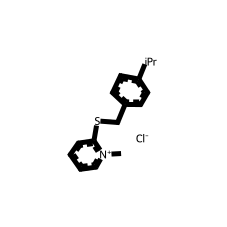 CC(C)c1ccc(CSc2cccc[n+]2C)cc1.[Cl-]